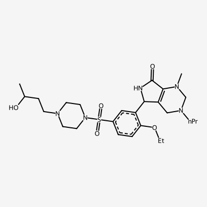 CCCN1CC2=C(C(=O)NC2c2cc(S(=O)(=O)N3CCN(CCC(C)O)CC3)ccc2OCC)N(C)C1